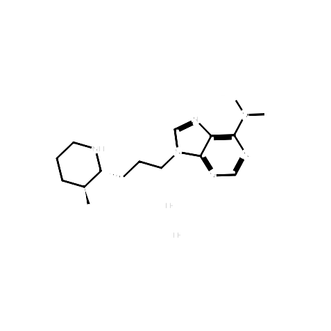 CCN(C)c1ncnc2c1ncn2CCC[C@H]1NCCC[C@@H]1O.Cl.Cl.Cl